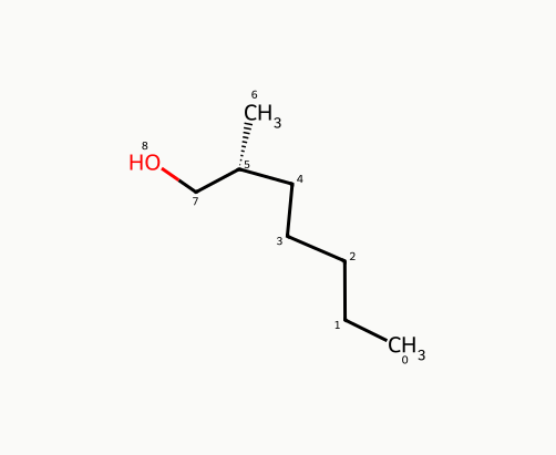 CCCCC[C@@H](C)CO